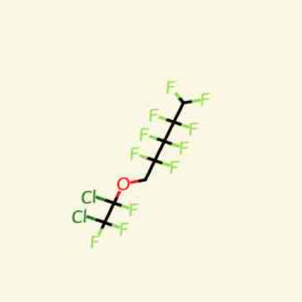 FC(F)C(F)(F)C(F)(F)C(F)(F)COC(F)(Cl)C(F)(F)Cl